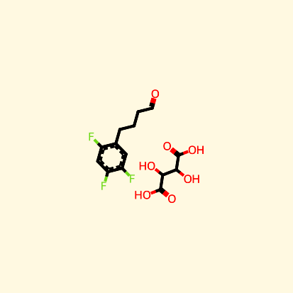 O=C(O)C(O)C(O)C(=O)O.O=CCCCc1cc(F)c(F)cc1F